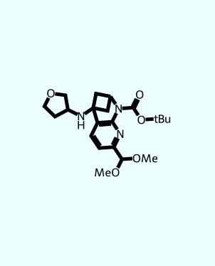 COC(OC)c1ccc2c(n1)N(C(=O)OC(C)(C)C)C1CC2(NC2CCOC2)C1